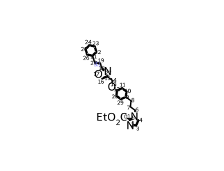 CCOC(=O)c1nccn1CCCc1ccc(OCc2coc(/C=C/c3ccccc3)n2)cc1